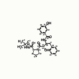 CC(C)(C)NC(=O)C1CSCN1C(=O)[C@@H](O)[C@H](Cc1ccccc1)NC(=O)c1cccc(O)c1